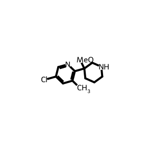 COC1(c2ncc(Cl)cc2C)CCCNC1